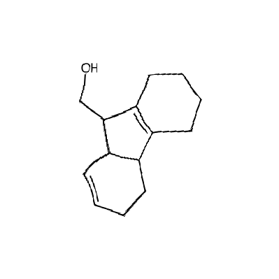 OCC1C2=C(CCCC2)C2CCC=CC12